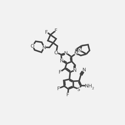 N#Cc1c(N)sc2c(F)c(F)cc(-c3ncc4c(N5CC6CCC(C5)N6)nc(OCC5(CN6CCOCC6)CC(F)(F)C5)nc4c3F)c12